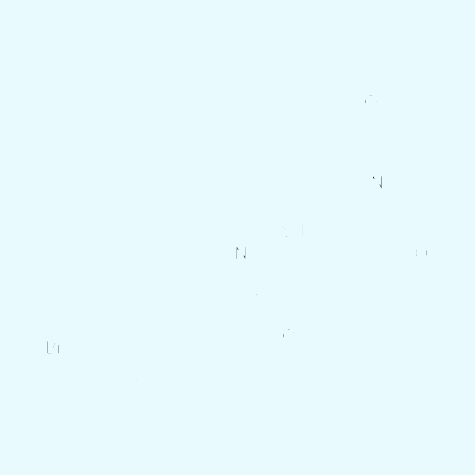 CC1C(=O)NC(=O)CC[SH]1N1Cc2cc(Br)ccc2C1=O